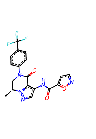 C[C@H]1CN(c2ccc(C(F)(F)F)cc2)C(=O)c2c(NC(=O)c3ccno3)cnn21